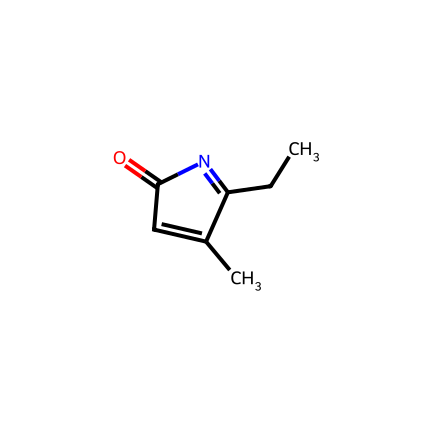 CCC1=NC(=O)C=C1C